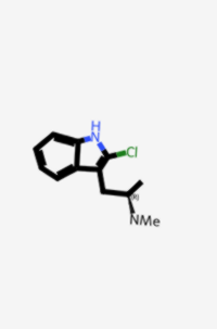 CN[C@H](C)Cc1c(Cl)[nH]c2ccccc12